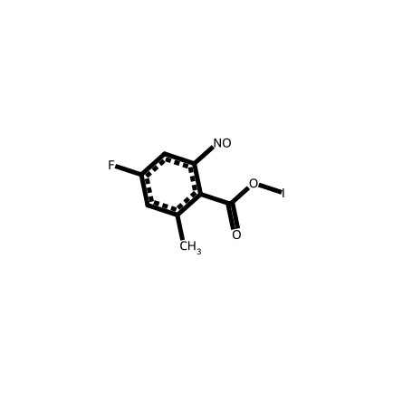 Cc1cc(F)cc(N=O)c1C(=O)OI